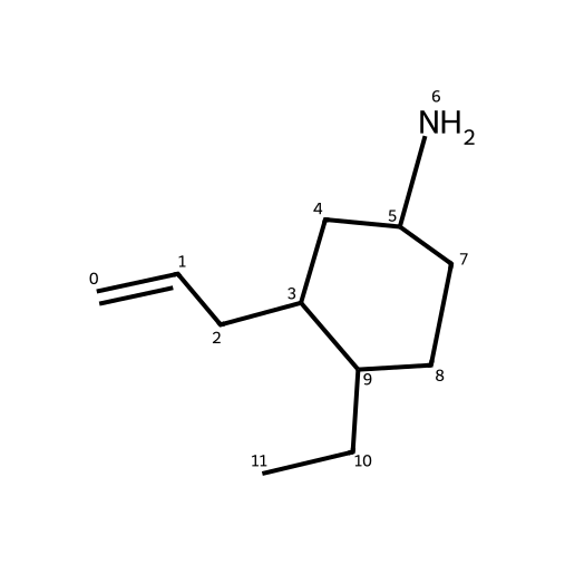 C=CCC1CC(N)CCC1CC